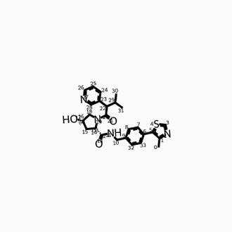 Cc1ncsc1-c1ccc(CNC(=O)[C@@H]2C[C@@H](O)CN2C(=O)C(c2cccnc2)C(C)C)cc1